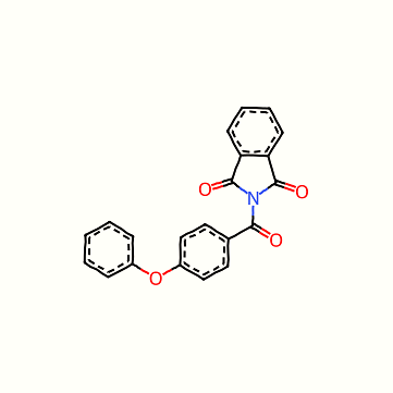 O=C(c1ccc(Oc2ccccc2)cc1)N1C(=O)c2ccccc2C1=O